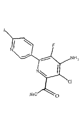 COC(=O)c1nc(-c2ccc(I)nc2)c(F)c(N)c1Cl